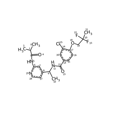 CC(C)C(=O)Nc1cc(C(C)NC(=O)c2ccc(OCC(C)(F)F)c(Cl)c2)ccn1